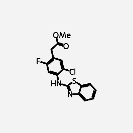 COC(=O)Cc1cc(Cl)c(Nc2nc3ccccc3s2)cc1F